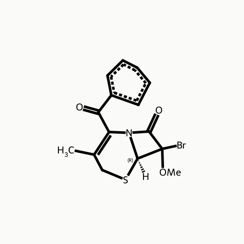 COC1(Br)C(=O)N2C(C(=O)c3ccccc3)=C(C)CS[C@@H]21